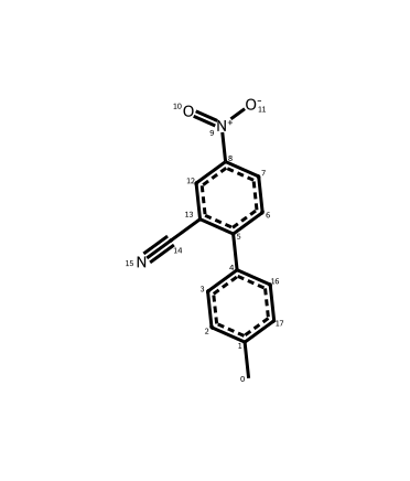 Cc1ccc(-c2ccc([N+](=O)[O-])cc2C#N)cc1